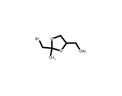 CC(=O)OCC1COC(C)(CC(C)C)O1